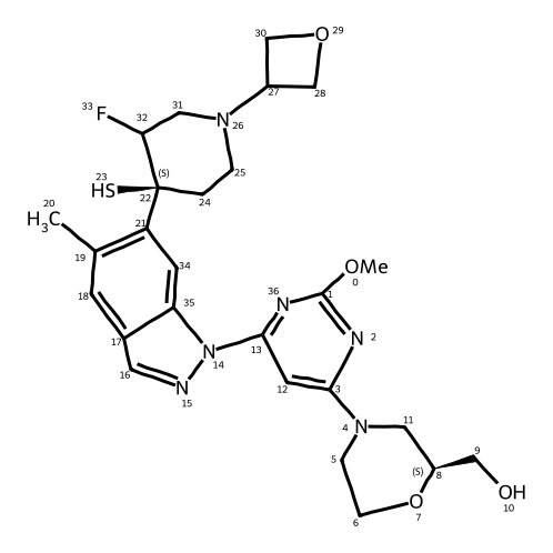 COc1nc(N2CCO[C@H](CO)C2)cc(-n2ncc3cc(C)c([C@@]4(S)CCN(C5COC5)CC4F)cc32)n1